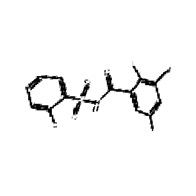 O=C(NS(=O)(=O)c1ccccc1Cl)c1cc(I)cc(I)c1I